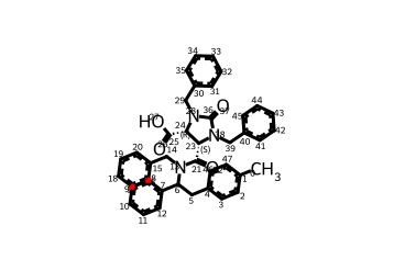 Cc1ccc(CC(c2ccccc2)N(Cc2ccccc2)C(=O)[C@@H]2[C@H](C(=O)O)N(Cc3ccccc3)C(=O)N2Cc2ccccc2)cc1